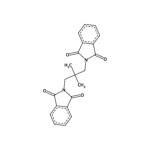 CC(C)(CN1C(=O)c2ccccc2C1=O)CN1C(=O)c2ccccc2C1=O